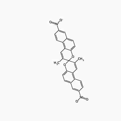 CC1=Cc2c(ccc3cc([N+](=O)[O-])ccc23)OC12Oc1ccc3cc([N+](=O)[O-])ccc3c1C=C2C